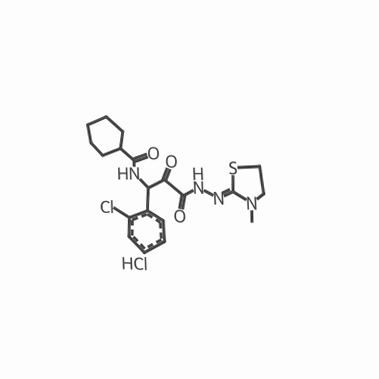 CN1CCSC1=NNC(=O)C(=O)C(NC(=O)C1CCCCC1)c1ccccc1Cl.Cl